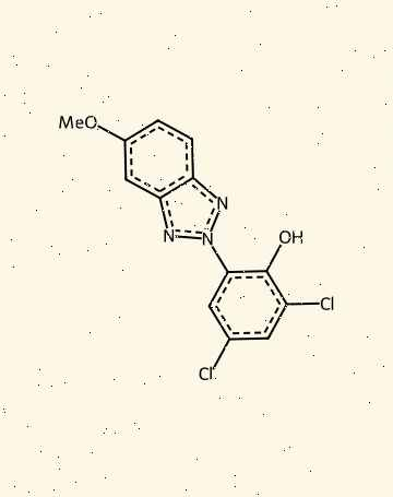 COc1ccc2nn(-c3cc(Cl)cc(Cl)c3O)nc2c1